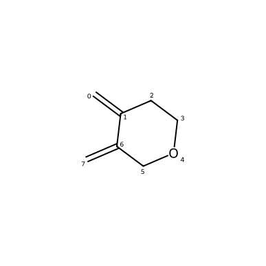 C=C1CCOCC1=C